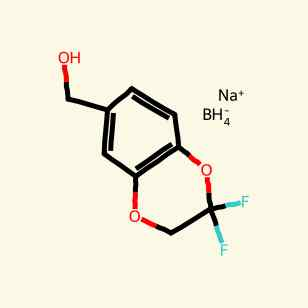 OCc1ccc2c(c1)OCC(F)(F)O2.[BH4-].[Na+]